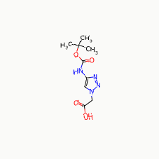 CC(C)(C)OC(=O)Nc1cn(CC(=O)O)nn1